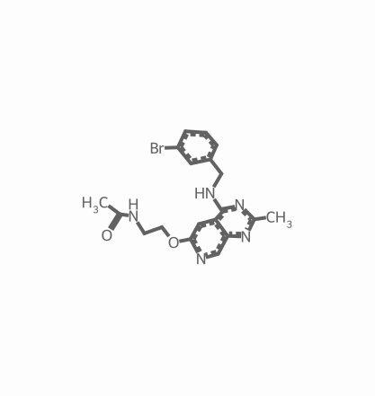 CC(=O)NCCOc1cc2c(NCc3cccc(Br)c3)nc(C)nc2cn1